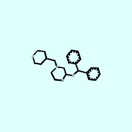 c1ccc(C(OC2CN(CC3CCOCC3)CC[N]2)c2ccccc2)cc1